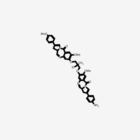 CCC(C)(COc1cc2c(cc1OC)C(=O)N1C=C(c3ccc(N)cc3)CC1C=N2)COc1cc2c(cc1OC)C(=O)N1C=C(c3ccc(OC)cc3)CC1C=N2